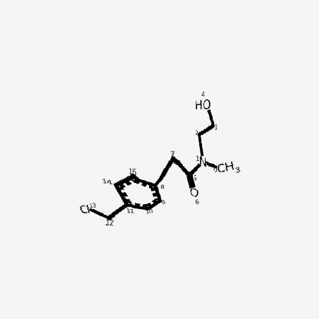 CN(CCO)C(=O)Cc1ccc(CCl)cc1